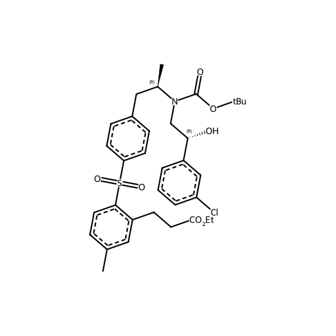 CCOC(=O)CCc1cc(C)ccc1S(=O)(=O)c1ccc(C[C@@H](C)N(C[C@H](O)c2cccc(Cl)c2)C(=O)OC(C)(C)C)cc1